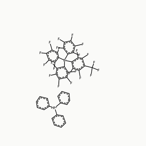 Fc1c(F)c(F)c([B-](c2c(F)c(F)c(F)c(F)c2F)(c2c(F)c(F)c(F)c(F)c2F)c2c(F)c(F)c(C(F)(F)F)c(F)c2F)c(F)c1F.c1ccc([PH+](c2ccccc2)c2ccccc2)cc1